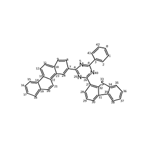 c1ccc(-c2nc(-c3ccc4ccc5c6ccccc6ccc5c4c3)nc(-c3cccc4c3sc3ccccc34)n2)cc1